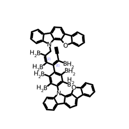 B/C(Cn1c2ccccc2c2ccc3c4ccccc4oc3c21)=C(B)/C(=C(/B)C#C)c1c(B)c(B)c(-n2c3ccccc3c3ccc4c5ccccc5oc4c32)c(B)c1B